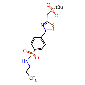 CC(C)(C)S(=O)(=O)Cc1nc(-c2ccc(S(=O)(=O)NCCC(F)(F)F)cc2)cs1